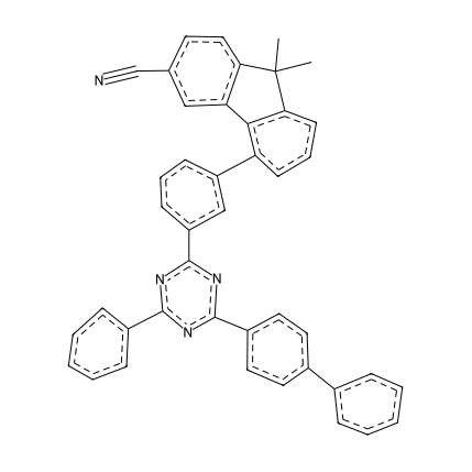 CC1(C)c2ccc(C#N)cc2-c2c(-c3cccc(-c4nc(-c5ccccc5)nc(-c5ccc(-c6ccccc6)cc5)n4)c3)cccc21